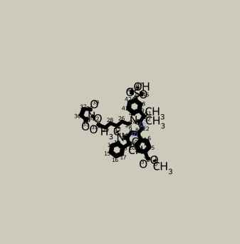 COC(=O)c1ccc(C(=C\C2=[N+](C)c3ccccc3C2(C)C)/C=C2\N(CCCCCC(=O)ON3C(=O)C=CC3=O)c3ccc(S(=O)(=O)O)cc3C2(C)C)cc1